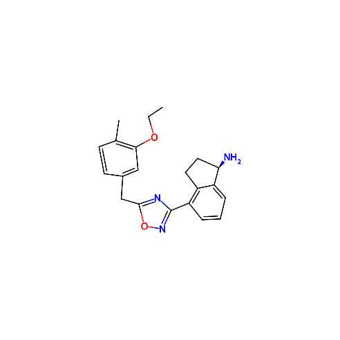 CCOc1cc(Cc2nc(-c3cccc4c3CC[C@H]4N)no2)ccc1C